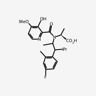 COc1ccnc(C(=O)N(C(C)C(c2ccc(F)cc2C)C(C)C)[C@@H](C)C(=O)O)c1O